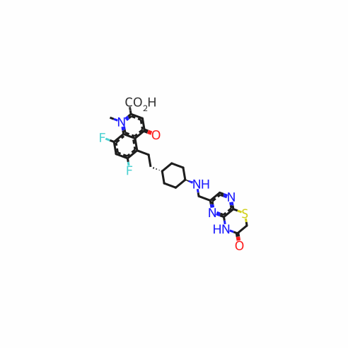 Cn1c(C(=O)O)cc(=O)c2c(CC[C@H]3CC[C@H](NCc4cnc5c(n4)NC(=O)CS5)CC3)c(F)cc(F)c21